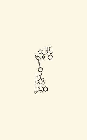 O=C(N[C@@H](C(=O)N1CCC[C@H]1C(=O)NCc1ccc(C#Cc2cnc([C@@H]3CCCN3C(=O)[C@H](NC(=O)C3CC3)c3ccccc3)[nH]2)cc1)c1ccccc1)C1CC1